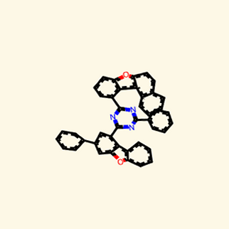 c1ccc(-c2cc(-c3nc(-c4ccccc4)nc(-c4cccc5oc6ccc7ccccc7c6c45)n3)c3c(c2)oc2ccccc23)cc1